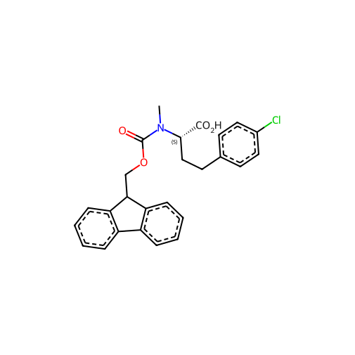 CN(C(=O)OCC1c2ccccc2-c2ccccc21)[C@@H](CCc1ccc(Cl)cc1)C(=O)O